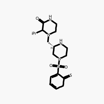 CC(C)C1C(=O)NCCN1C[C@H]1CN(S(=O)(=O)C2=CC=CCC2=S)CCN1